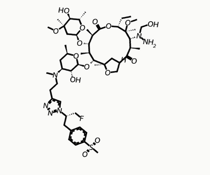 CC[C@H]1OC(=O)[C@H](C)[C@@H](O[C@H]2C[C@@](C)(OC)[C@@H](O)[C@H](C)O2)[C@H](C)[C@@H](O[C@@H]2O[C@H](C)C[C@H](N(C)CCc3cn([C@H](CF)Cc4ccc(S(C)(=O)=O)cc4)nn3)[C@H]2O)[C@@]2(C)C[C@@H](CO2)C(=O)[C@H](C)[C@@H](N(N)CO)[C@]1(C)OC